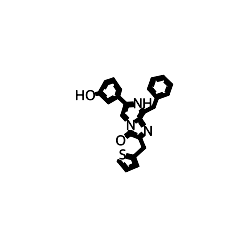 O=c1c(Cc2cccs2)nc2c(Cc3ccccc3)[nH]c(-c3cccc(O)c3)cn1-2